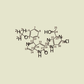 [2H]C([2H])([2H])Oc1ccccc1-c1nccc2[nH]c(=O)c(-c3nc4c(C(C)O)nc(Cl)cc4[nH]3)cc12